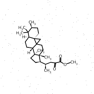 COC(=O)C(=O)C[C@@H](C)[C@H]1CC[C@@]2(C)[C@@H]3CC[C@H]4C(C)(C)[C@@H](C)CC[C@@]45CC35CC[C@]12C